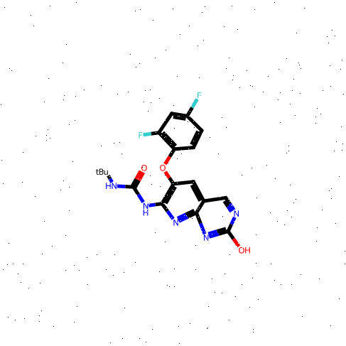 CC(C)(C)NC(=O)Nc1nc2nc(O)ncc2cc1Oc1ccc(F)cc1F